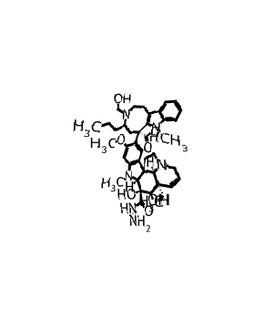 CCCC1C[C@](C(=O)OC)(c2cc3c(cc2OC)N(C)[C@H]2[C@@](O)(C(=O)NN)[C@H](O)[C@]4(CC)C=CCN5CC[C@]32[C@@H]54)c2[nH]c3ccccc3c2CCN1CO